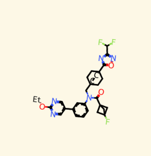 CCOc1ncc(-c2cccc(N(CC34CCC(c5nc(C(F)F)no5)(CC3)CC4)C(=O)C34CC(F)(C3)C4)c2)cn1